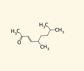 CC(=O)/C=C/C(C)CCC(C)C